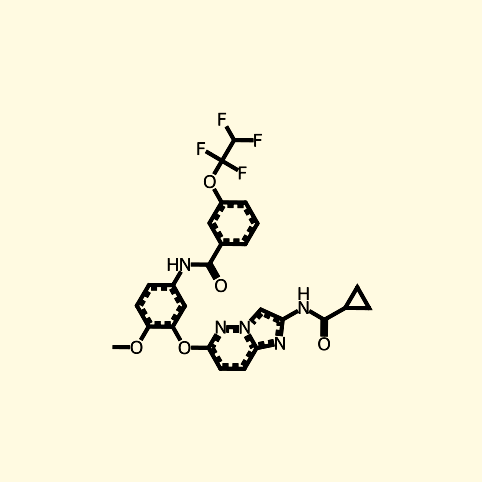 COc1ccc(NC(=O)c2cccc(OC(F)(F)C(F)F)c2)cc1Oc1ccc2nc(NC(=O)C3CC3)cn2n1